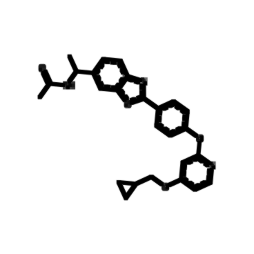 CC(=O)NC(C)c1ccc2nc(-c3ccc(Oc4cc(OCC5CC5)ccn4)cc3)oc2c1